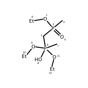 CCOP(C)(=O)CP(C)(O)(OCC)OCC